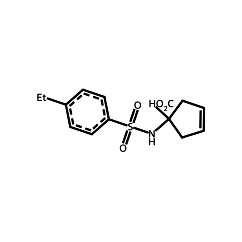 CCc1ccc(S(=O)(=O)NC2(C(=O)O)CC=CC2)cc1